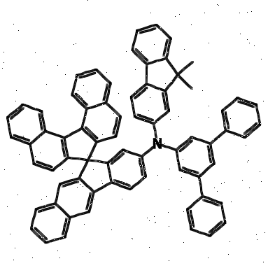 CC1(C)c2ccccc2-c2ccc(N(c3cc(-c4ccccc4)cc(-c4ccccc4)c3)c3ccc4c(c3)C3(c5cc6ccccc6cc5-4)c4ccc5ccccc5c4-c4c3ccc3ccccc43)cc21